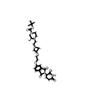 C[C@H]1CN(C(=O)OC(C)(C)C)CCN1CCN1CC(OCCOc2ccc3c(c2)C(=O)N(C2CCC(=O)NC2=O)C3=O)C1